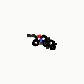 COC(=O)c1ccccc1N1C(=O)C=C[C@]2(C)[C@H]3CC[C@]4(C)CCC[C@H]4[C@@H]3CC[C@@H]12